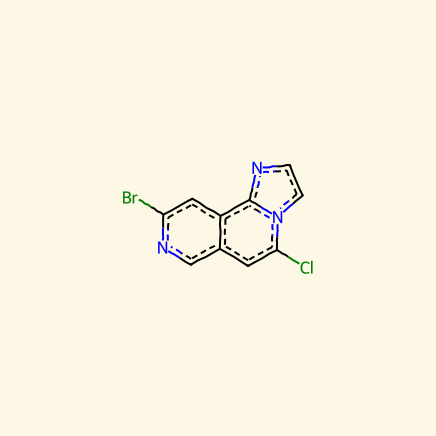 Clc1cc2cnc(Br)cc2c2nccn12